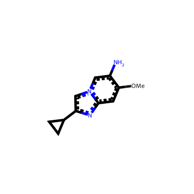 COc1cc2nc(C3CC3)cn2cc1N